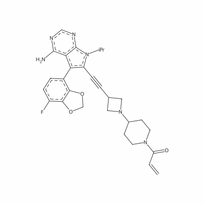 C=CC(=O)N1CCC(N2CC(C#Cc3c(-c4ccc(F)c5c4OCO5)c4c(N)ncnc4n3C(C)C)C2)CC1